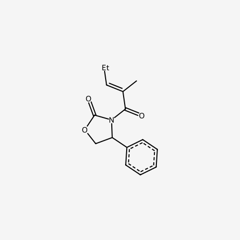 CCC=C(C)C(=O)N1C(=O)OCC1c1ccccc1